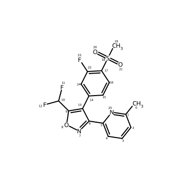 Cc1cccc(-c2noc(C(F)F)c2-c2ccc(S(C)(=O)=O)c(F)c2)n1